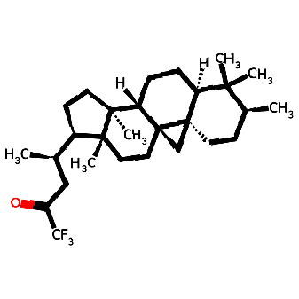 C[C@H](CC(=O)C(F)(F)F)[C@H]1CC[C@@]2(C)[C@@H]3CC[C@H]4C(C)(C)[C@@H](C)CC[C@@]45C[C@@]35CC[C@]12C